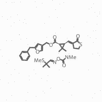 CC1(C)[C@H](/C=C2\CCSC2=O)[C@@H]1C(=O)OCc1coc(Cc2ccccc2)c1.CNC(=O)O/N=C/C(C)(C)SC